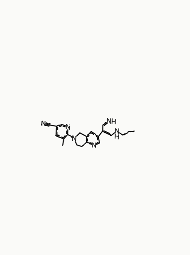 CCCN/C=C(\C=N)c1cnc2c(c1)CN(c1ncc(C#N)cc1C)CC2